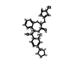 CCc1noc(CN2Cc3ccccc3N(C(=O)c3ccc(N4CCCC4)cc3Cl)CC2=O)n1